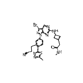 CNC(=O)CC1CC(Nc2ncc3c(Br)nn(-c4ccc(-c5nnc(C)s5)c(CCC#N)c4)c3n2)C1